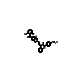 O=C(O)c1ccc(C(=O)NC(CCN2CC3CN(C(=O)c4c(F)cccc4Cl)C[C@@H]3C2)c2ccccc2)cc1